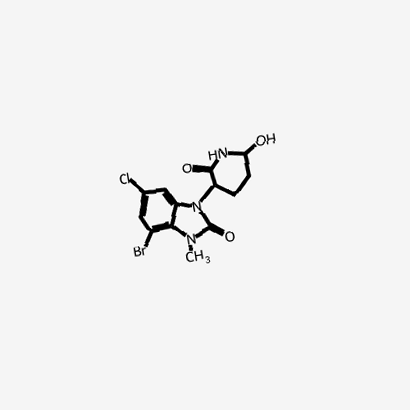 Cn1c(=O)n(C2CCC(O)NC2=O)c2cc(Cl)cc(Br)c21